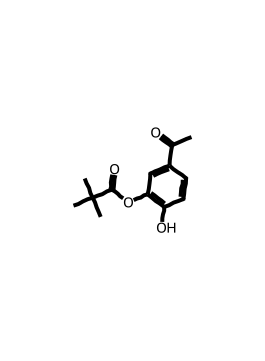 CC(=O)c1ccc(O)c(OC(=O)C(C)(C)C)c1